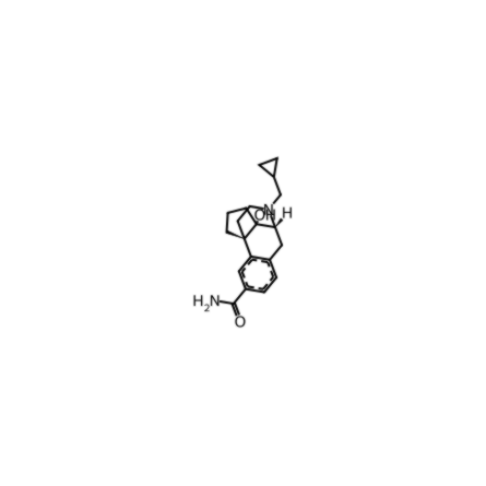 NC(=O)c1ccc2c(c1)[C@@]13CCC[C@@]1(O)[C@@H](C2)N(CC1CC1)CC3